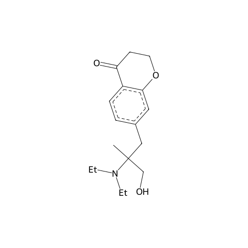 CCN(CC)C(C)(CO)Cc1ccc2c(c1)OCCC2=O